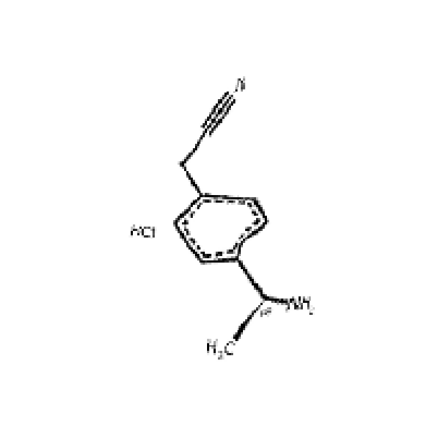 C[C@H](N)c1ccc(CC#N)cc1.Cl